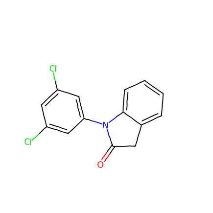 O=C1Cc2ccccc2N1c1cc(Cl)cc(Cl)c1